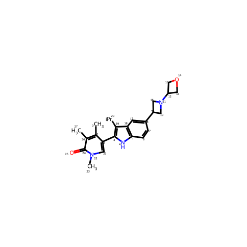 Cc1c(-c2[nH]c3ccc(C4CN(C5COC5)C4)cc3c2C(C)C)cn(C)c(=O)c1C